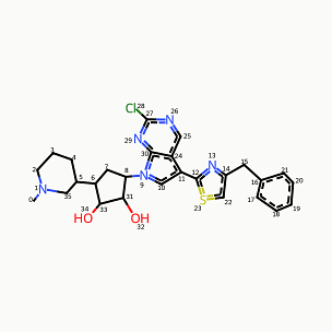 CN1CCCC(C2CC(n3cc(-c4nc(Cc5ccccc5)cs4)c4cnc(Cl)nc43)C(O)C2O)C1